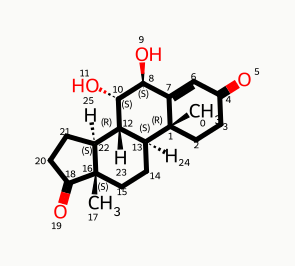 C[C@]12CCC(=O)C=C1[C@H](O)[C@@H](O)[C@@H]1[C@@H]2CC[C@]2(C)C(=O)CC[C@@H]12